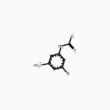 CCC(=O)Nc1cc(Br)cc(C(=O)O)c1